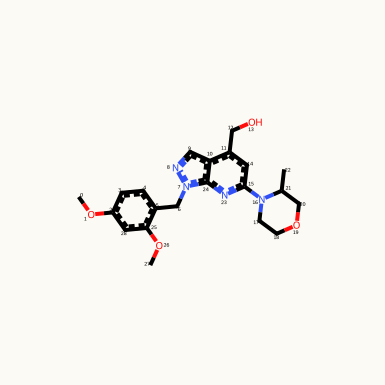 COc1ccc(Cn2ncc3c(CO)cc(N4CCOCC4C)nc32)c(OC)c1